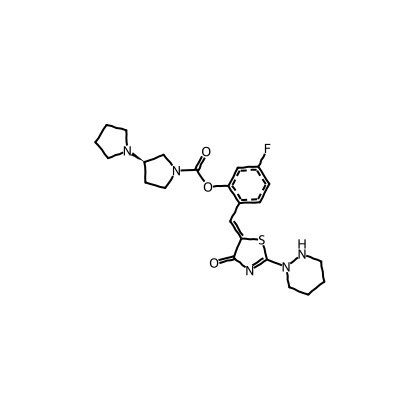 O=C1N=C(N2CCCCN2)S/C1=C\c1ccc(F)cc1OC(=O)N1CC[C@@H](N2CCCC2)C1